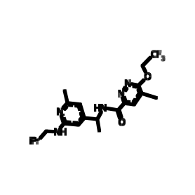 Cc1cc(C(C)NC(=O)c2cc(C)c(OCC(F)(F)F)nn2)cc(NCC(C)C)n1